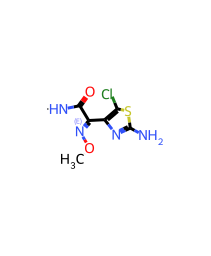 CO/N=C(/C([NH])=O)c1nc(N)sc1Cl